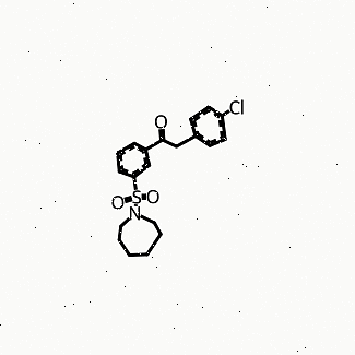 O=C(Cc1ccc(Cl)cc1)c1cccc(S(=O)(=O)N2CCCCCC2)c1